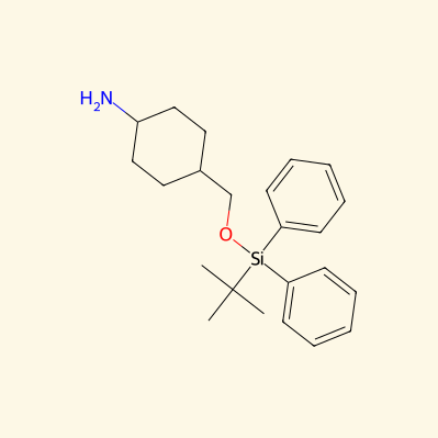 CC(C)(C)[Si](OCC1CCC(N)CC1)(c1ccccc1)c1ccccc1